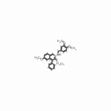 COc1ccc2c[n+](NCc3ccc(OC)c(OC)c3)c(C)c(-c3ccccc3)c2c1.[Cl-]